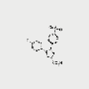 CS(=O)(=O)c1ccc(C2=CC(C(=O)O)C=C2c2ccc(F)cc2)nc1